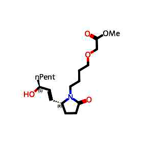 CCCCC[C@H](O)C=C[C@H]1CCC(=O)N1CCCCOCC(=O)OC